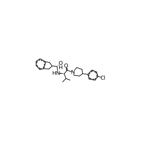 CC(C)[C@@H](N[C@@H](O)C1Cc2ccccc2C1)C(=O)N1CCC(c2ccc(Cl)cc2)CC1